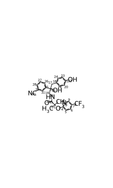 CC(C)(Oc1ccc(C(F)(F)F)cn1)C(=O)NCC(O)(Cc1ccc(O)cc1)c1cccc(C#N)c1